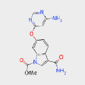 COC(=O)n1cc(C(N)=O)c2ccc(Oc3cc(N)ncn3)cc21